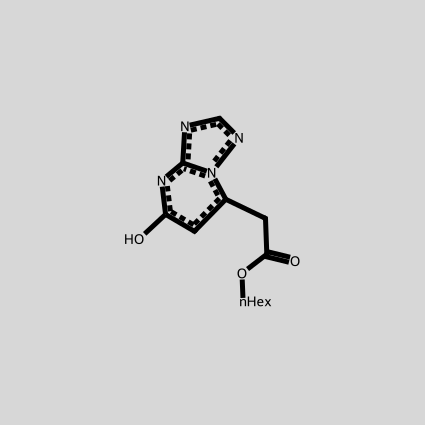 CCCCCCOC(=O)Cc1cc(O)nc2ncnn12